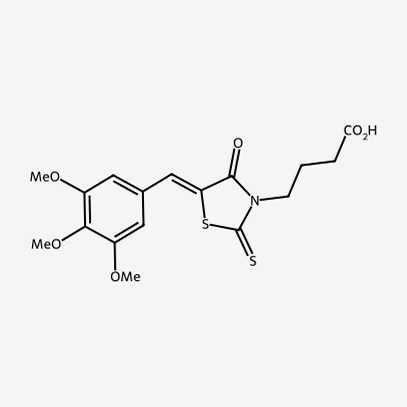 COc1cc(/C=C2\SC(=S)N(CCCC(=O)O)C2=O)cc(OC)c1OC